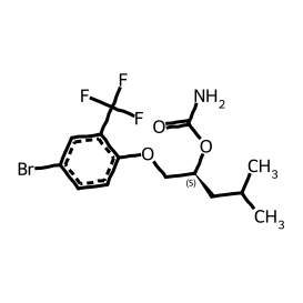 CC(C)C[C@@H](COc1ccc(Br)cc1C(F)(F)F)OC(N)=O